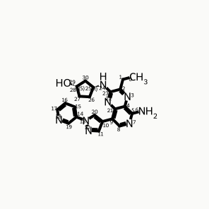 CCc1nc2c(N)ncc(-c3cnn(-c4cccnc4)c3)c2nc1N[C@@H]1CC[C@H](O)C1